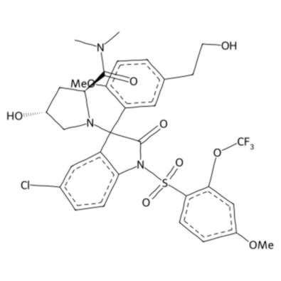 COc1ccc(S(=O)(=O)N2C(=O)C(c3cc(CCO)ccc3OC)(N3C[C@H](O)C[C@H]3C(=O)N(C)C)c3cc(Cl)ccc32)c(OC(F)(F)F)c1